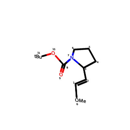 CO/C=C/C1CCCN1C(=O)OC(C)(C)C